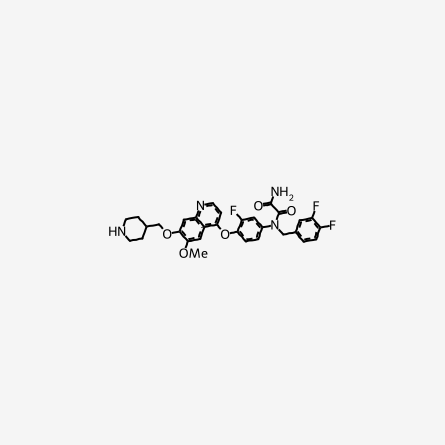 COc1cc2c(Oc3ccc(N(Cc4ccc(F)c(F)c4)C(=O)C(N)=O)cc3F)ccnc2cc1OCC1CCNCC1